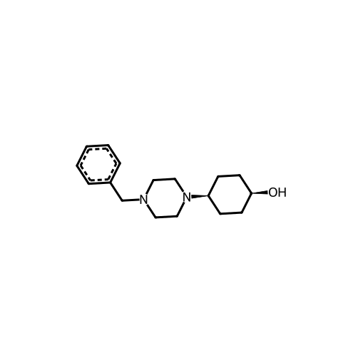 O[C@H]1CC[C@@H](N2CCN(Cc3ccccc3)CC2)CC1